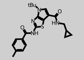 Cc1ccc(C(=O)Nc2nc3c(s2)c(C(=O)NCC2CC2)cn3C(C)(C)C)cc1